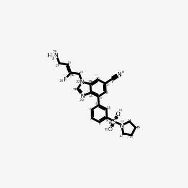 N#Cc1cc(-c2cccc(S(=O)(=O)N3CCCC3)c2)c2ncn(CC(F)=CCN)c2c1